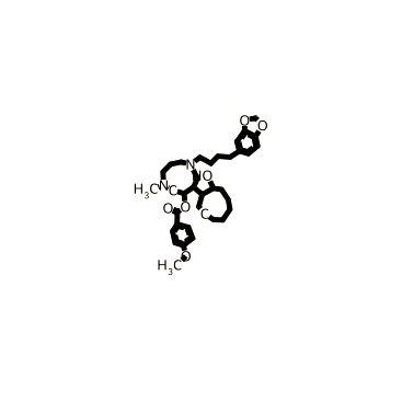 COc1ccc(C(=O)OC2CN(C)CCCN(CCCCc3ccc4c(c3)OCO4)CC2C2CCCCCCCC2O)cc1